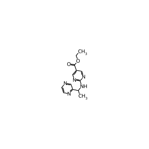 CCOC(=O)c1cnc(NC(C)c2cnccn2)nc1